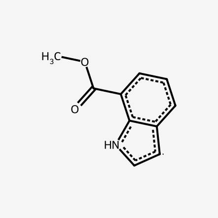 COC(=O)c1cccc2[c]c[nH]c12